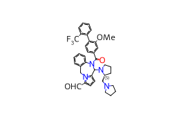 COc1cc(C(=O)N2c3ccccc3Cn3c(C=O)ccc3C2N2CCC[C@H]2CN2CCCC2)ccc1-c1ccccc1C(F)(F)F